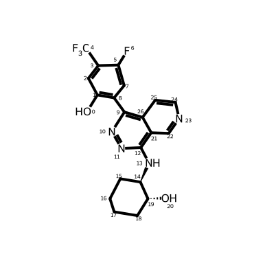 Oc1cc(C(F)(F)F)c(F)cc1-c1nnc(N[C@@H]2CCCC[C@H]2O)c2cnccc12